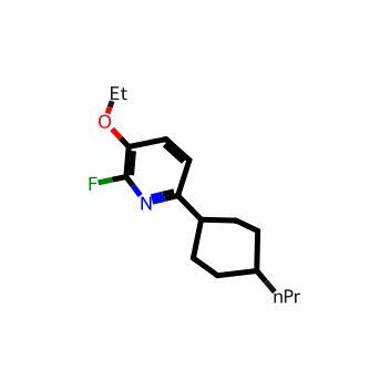 CCCC1CCC(c2ccc(OCC)c(F)n2)CC1